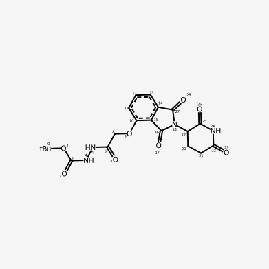 CC(C)(C)OC(=O)NNC(=O)COc1cccc2c1C(=O)N(C1CCC(=O)NC1=O)C2=O